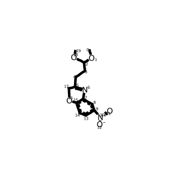 COC(CCC1=Nc2cc([N+](=O)[O-])ccc2OC1)OC